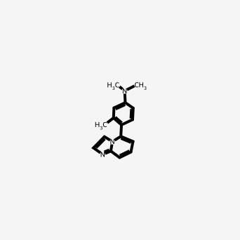 Cc1cc(N(C)C)ccc1-c1cccc2nccn12